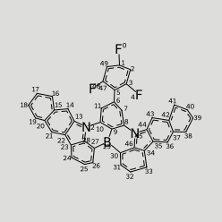 Fc1cc(F)c(-c2cc3c4c(c2)-n2c5cc6ccccc6cc5c5cccc(c52)B4c2cccc4c5cc6ccccc6cc5n-3c24)c(F)c1